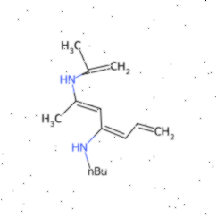 C=C/C=C(\C=C(/C)NC(=C)C)NCCCC